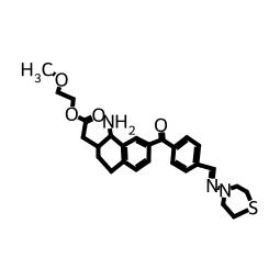 COCCOC(=O)CC1CCc2ccc(C(=O)c3ccc(C=NN4CCSCC4)cc3)cc2C1N